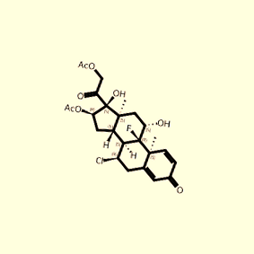 CC(=O)OCC(=O)[C@@]1(O)[C@H](OC(C)=O)C[C@H]2[C@@H]3[C@H](Cl)CC4=CC(=O)C=C[C@]4(C)[C@@]3(F)[C@@H](O)C[C@@]21C